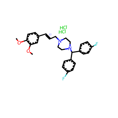 COc1ccc(/C=C/CN2CCN(C(c3ccc(F)cc3)c3ccc(F)cc3)CC2)cc1OC.Cl.Cl